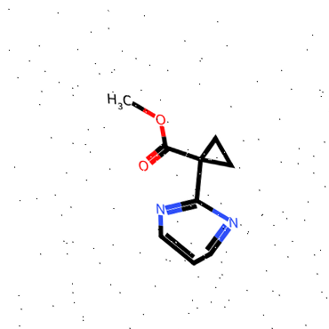 COC(=O)C1(c2ncccn2)CC1